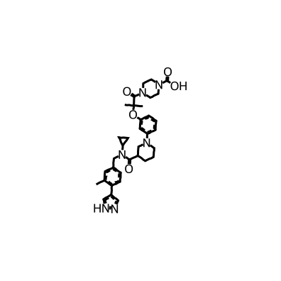 Cc1cc(CN(C(=O)C2CCCN(c3cccc(OC(C)(C)C(=O)N4CCN(C(=O)O)CC4)c3)C2)C2CC2)ccc1-c1cn[nH]c1